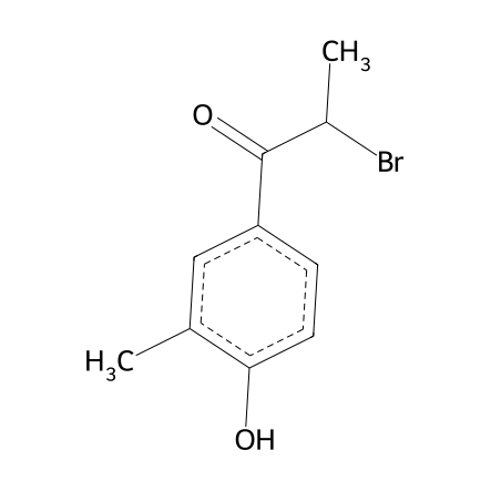 Cc1cc(C(=O)C(C)Br)ccc1O